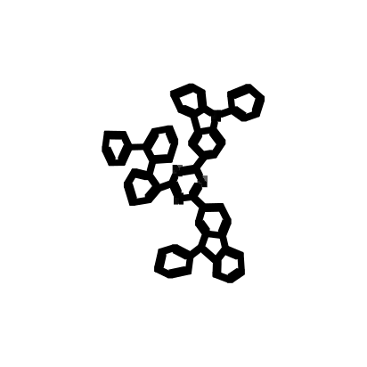 c1ccc(-c2ccccc2-c2ccccc2-c2nc(-c3ccc4c(c3)C(c3ccccc3)c3ccccc3-4)nc(-c3ccc4c(c3)c3ccccc3n4-c3ccccc3)n2)cc1